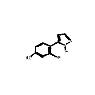 Cc1ccc(-c2ccnn2C(C)C)c(C(C)(C)C)c1